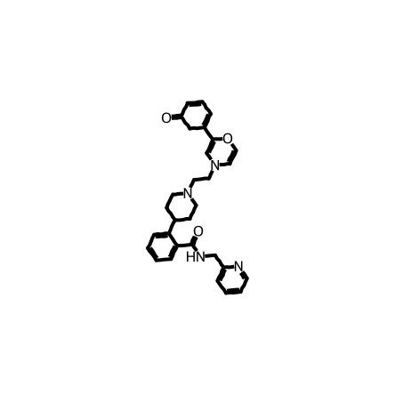 O=C1C=CC=C(C2=CN(CCN3CCC(c4ccccc4C(=O)NCc4ccccn4)CC3)C=CO2)C1